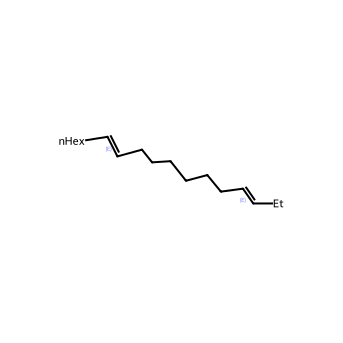 CC/C=C/CCCCCC/C=C/CCCCCC